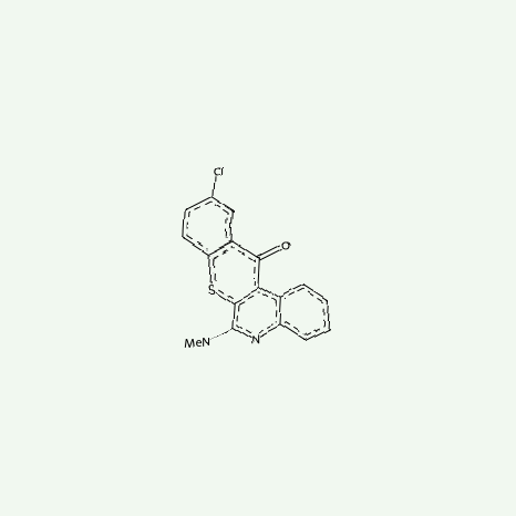 CNc1nc2ccccc2c2c(=O)c3cc(Cl)ccc3sc12